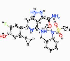 CN(c1ccccc1CNc1nc(-c2cc(F)c(O)cc2C2CC2)cc2[nH]nc(C(N)=O)c12)S(C)(=O)=O